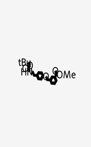 COC(=O)c1cccc(COc2ccc(CCNC(=O)OC(C)(C)C)cc2)c1